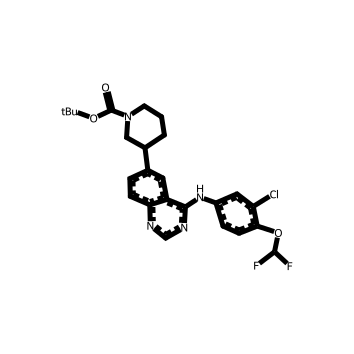 CC(C)(C)OC(=O)N1CCCC(c2ccc3ncnc(Nc4ccc(OC(F)F)c(Cl)c4)c3c2)C1